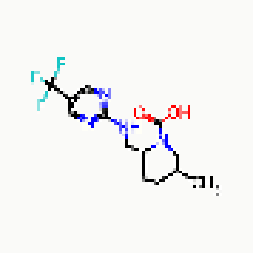 C[C@H]1CC[C@@H](CNc2ncc(C(F)(F)F)cn2)N(C(=O)O)C1